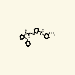 Cc1cccc(OC(=O)c2cccc(NCC(=O)Nc3ccccc3Sc3ccccc3)c2)c1